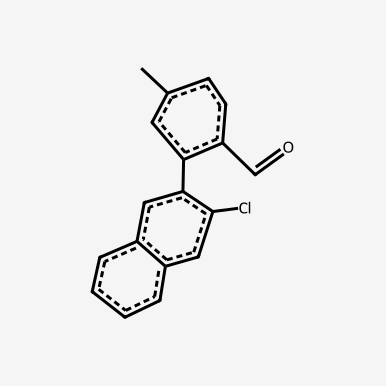 Cc1ccc(C=O)c(-c2cc3ccccc3cc2Cl)c1